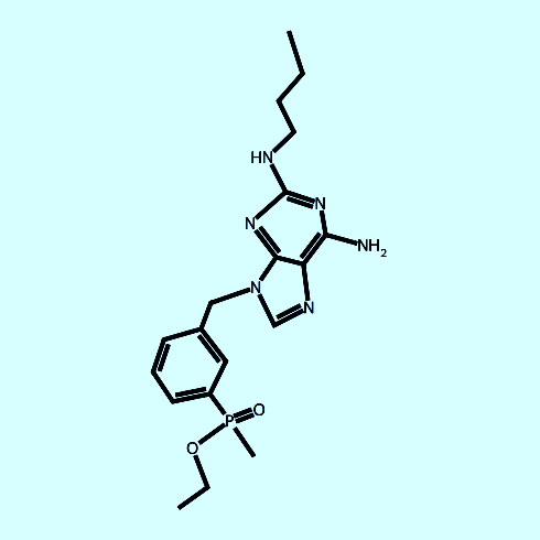 CCCCNc1nc(N)c2ncn(Cc3cccc(P(C)(=O)OCC)c3)c2n1